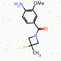 COc1cc(C(=O)N2CC(C)(F)C2)ccc1N